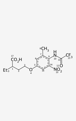 CCC(CCOc1cc(C)c(NC(=O)C(F)(F)F)c([N+](=O)[O-])c1)C(=O)O